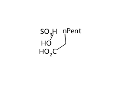 CCCCCCC(=O)O.O=S(=O)(O)O